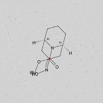 CC(C)(C)OC(=O)N1[C@@H]2CCC[C@H]1CC(=NO)C2